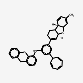 CC1=CC2O[C@H]3C=C(c4cc(Nc5cccc6c5Sc5ccccc5C6)cc(C5C=CC=CC=C5)c4)CCC3[C@@H]2C=C1